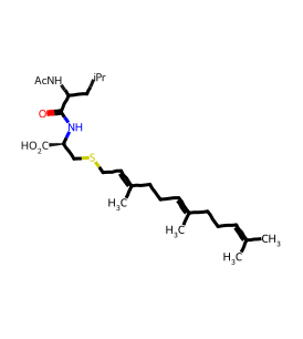 CC(=O)NC(CC(C)C)C(=O)N[C@@H](CSC/C=C(\C)CC/C=C(\C)CCC=C(C)C)C(=O)O